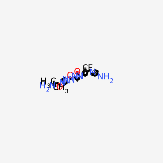 CC(C)(N)CC(=O)N1CCN(C(=O)Nc2ccn(-c3ccc(CN4CCC(N)CC4)c(C(F)(F)F)c3)c(=O)n2)CC1